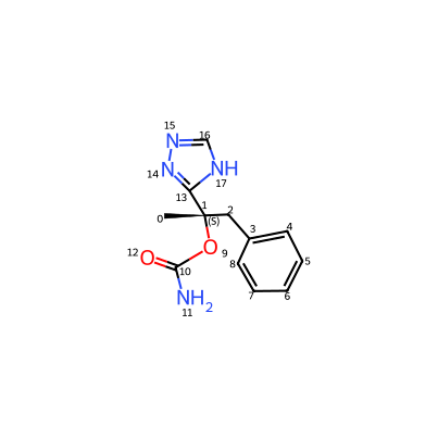 C[C@@](Cc1ccccc1)(OC(N)=O)c1nnc[nH]1